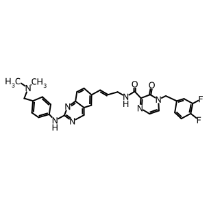 CN(C)Cc1ccc(Nc2ncc3cc(C=CCNC(=O)c4nccn(Cc5ccc(F)c(F)c5)c4=O)ccc3n2)cc1